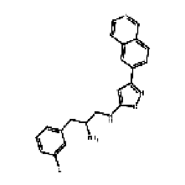 N[C@H](CNc1cc(-c2ccc3cnccc3c2)no1)Cc1cccc(Cl)c1